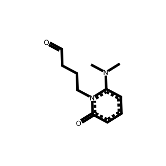 CN(C)c1cccc(=O)n1CCCC=O